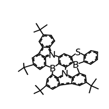 CC(C)(C)c1ccc2c(c1)c1cc(C(C)(C)C)cc3c1n2-c1cc2c4c5c1B3c1cc(C(C)(C)C)cc3c6cc(C(C)(C)C)cc(c6n-5c13)B4c1ccccc1S2